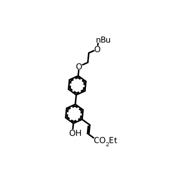 CCCCOCCOc1ccc(-c2ccc(O)c(/C=C/C(=O)OCC)c2)cc1